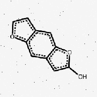 Oc1cc2cc3occc3cc2o1